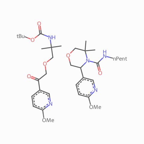 CCCCCNC(=O)N1C(c2ccc(OC)nc2)COCC1(C)C.COc1ccc(C(=O)COCC(C)(C)NC(=O)OC(C)(C)C)cn1